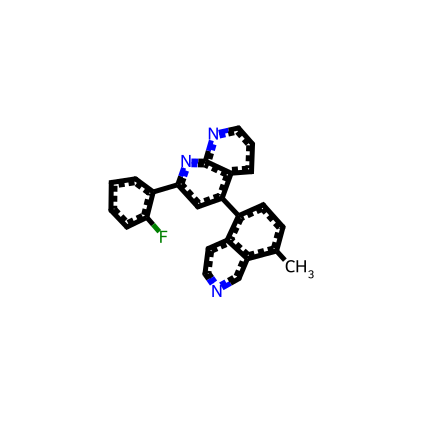 Cc1ccc(-c2cc(-c3ccccc3F)nc3ncccc23)c2ccncc12